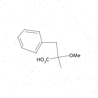 COC(C)(Cc1ccccc1)C(=O)O